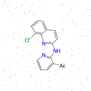 CC(=O)c1cccnc1Nc1ccc2cccc(Cl)c2n1